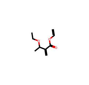 C=COC(=O)C(=C)C(C)OCC